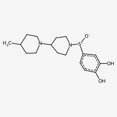 CC1CCN(C2CCN([S+]([O-])c3ccc(O)c(O)c3)CC2)CC1